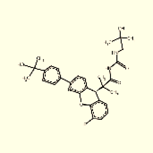 CC(C)(O)CNC(=O)NC(=O)C(C)(C)[C@@H]1c2ccc(-c3ccc(C(C)(C)O)cc3)nc2Oc2c(F)cccc21